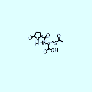 CC(=O)SC[C@@H](NC(=O)[C@@H]1CCC(=O)N1)C(=O)O